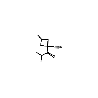 CC1CC(C#N)(C(=O)C(C)C)C1